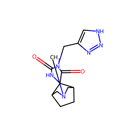 CN1CC2CCC(C1)C21NC(=O)N(Cc2c[nH]nn2)C1=O